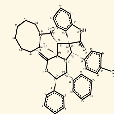 O=C1O[C@@H](c2ccccc2)[C@@H](c2ccccc2)N2[C@@H](c3ccc(O)cc3)[C@]3(C(=O)Nc4ccccc43)[C@@H](C(=O)N3CCCCCCC3)[C@H]12